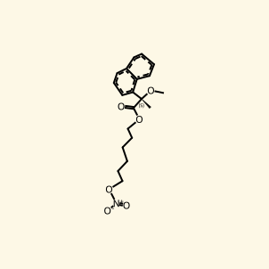 CO[C@](C)(C(=O)OCCCCCCO[N+](=O)[O-])c1cccc2ccccc12